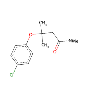 CNC(=O)CC(C)(C)Oc1ccc(Cl)cc1